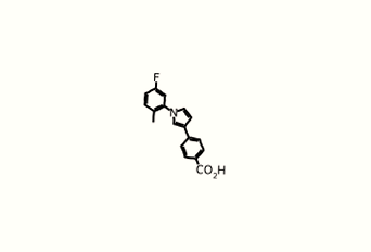 Cc1ccc(F)cc1-n1ccc(-c2ccc(C(=O)O)cc2)c1